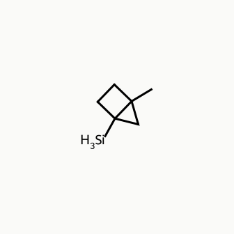 CC12CCC1([SiH3])C2